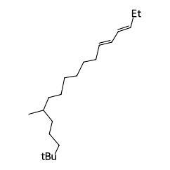 CC/C=C/C=C/CCCCCCC(C)CCCC(C)(C)C